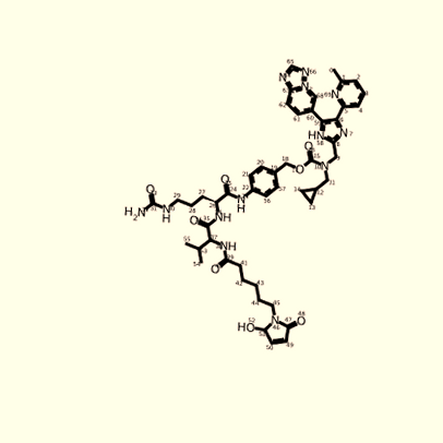 Cc1cccc(-c2nc(CN(CC3CC3)C(=O)OCc3ccc(NC(=O)[C@H](CCCNC(N)=O)NC(=O)C(NC(=O)CCCCCN4C(=O)C=CC4O)C(C)C)cc3)[nH]c2-c2ccc3ncnn3c2)n1